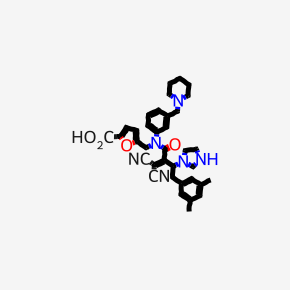 Cc1cc(C)cc(CC(C(C(=O)N(Cc2ccc(C(=O)O)o2)c2cccc(CN3CCCCC3)c2)=C(C#N)C#N)N2CCNC2)c1